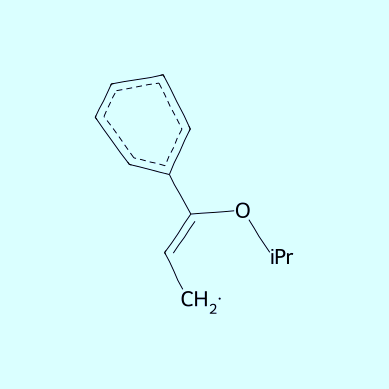 [CH2]C=C(OC(C)C)c1ccccc1